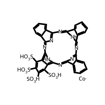 O=S(=O)(O)c1c(S(=O)(=O)O)c(S(=O)(=O)O)c2c3nc4nc(nc5[nH]c(nc6nc(nc([nH]3)c2c1S(=O)(=O)O)-c1ccccc1-6)c1ccccc51)-c1ccccc1-4.[Co]